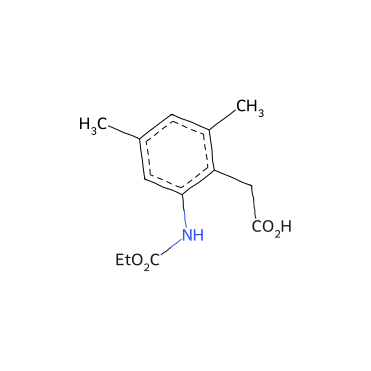 CCOC(=O)Nc1cc(C)cc(C)c1CC(=O)O